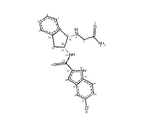 NC(=O)CN[C@H]1c2ccccc2C[C@H]1NC(=O)c1cc2cc(Cl)ccc2[nH]1